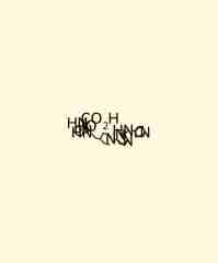 O=C(O)NS(=O)(=O)NCCC1CCN(c2ccnc(Nc3ccncc3)n2)CC1